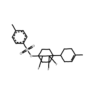 CC1=CCC(C23CCC(OS(=O)(=O)c4ccc(C)cc4)(CC2)C(F)C3(F)F)CC1